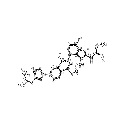 CN(C)Cc1cn(-c2ncc3c4c(c(-c5ncc(F)c6sc(NC(=O)OC(C)(C)C)c(C#N)c56)c(F)c3n2)COC4)cn1